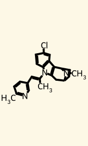 C/C(=C\c1ccc(C)nc1)n1c2c(c3cc(Cl)ccc31)C1CCC(C2)N1C